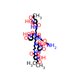 CC(=O)c1ccc(C(=O)NCCCN(C(=O)c2cccc(=O)n2O)C(CCCN(CCCNC(=O)c2ccc(C(=O)C(C)C)n(O)c2=O)C(=O)c2cccc(=O)n2O)C(=O)NCCOCCN)c(=O)n1O